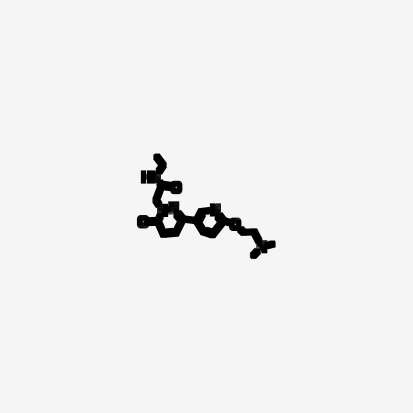 CCNC(=O)Cn1nc(-c2ccc(OCCN(C)C)nc2)ccc1=O